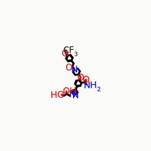 NC(=O)c1cc(-c2cnn(CC(O)CO)c2)ccc1OC1CCN(C(=O)Cc2ccc(OC(F)(F)F)cc2)CC1